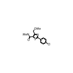 CNC(=O)c1sc(-c2ccc(Cl)cc2)nc1COC